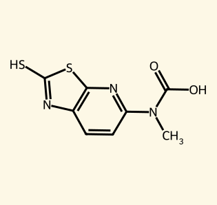 CN(C(=O)O)c1ccc2nc(S)sc2n1